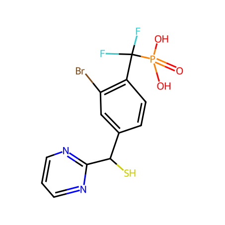 O=P(O)(O)C(F)(F)c1ccc(C(S)c2ncccn2)cc1Br